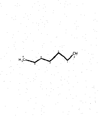 [CH]CCCCCC